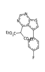 CCOC(=O)C(C(=O)OCC)c1ncnc2scc(-c3ccc(F)cc3)c12